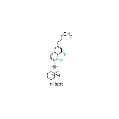 C=CCCc1cc(F)c2c(F)c([C@@H]3CC[C@@H]4CC(CCCCCCC)CCC4C3)ccc2c1